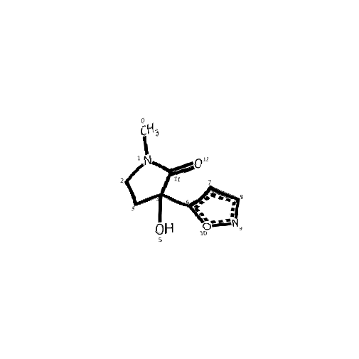 CN1CCC(O)(c2ccno2)C1=O